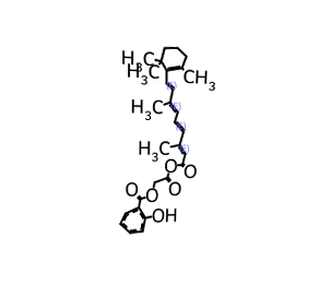 CC1=C(/C=C/C(C)=C/C=C/C(C)=C/C(=O)OC(=O)COC(=O)c2ccccc2O)C(C)(C)CCC1